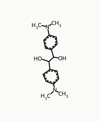 CN(C)c1ccc(C(O)C(O)c2ccc(N(C)C)cc2)cc1